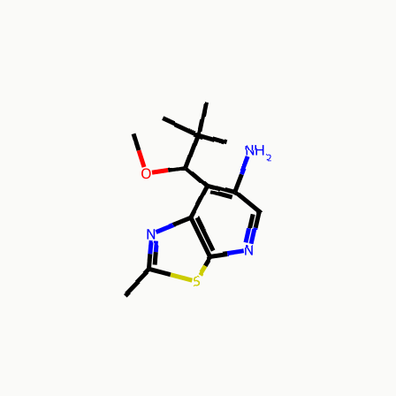 COC(c1c(N)cnc2sc(C)nc12)C(C)(C)C